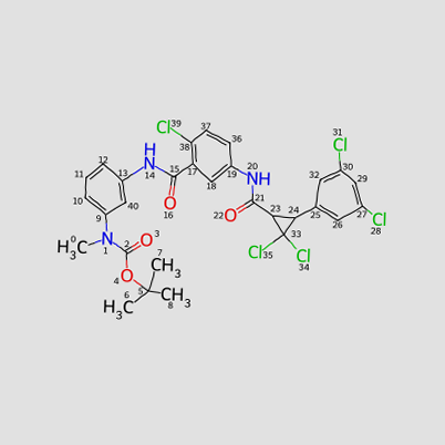 CN(C(=O)OC(C)(C)C)c1cccc(NC(=O)c2cc(NC(=O)C3C(c4cc(Cl)cc(Cl)c4)C3(Cl)Cl)ccc2Cl)c1